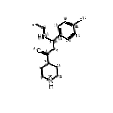 CCN[C@H](CC(=O)C1CCNCC1)c1ccc(F)cc1